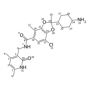 Cc1cc(C)c(CNC(=O)c2cc(Cl)c3c(c2C)OC(C)(C2CCC(N)CC2)O3)c(=O)[nH]1